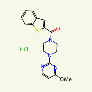 COc1ccnc(N2CCN(C(=O)c3cc4ccccc4s3)CC2)n1.Cl